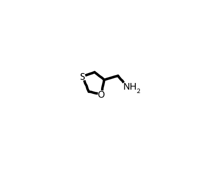 NCC1CSCO1